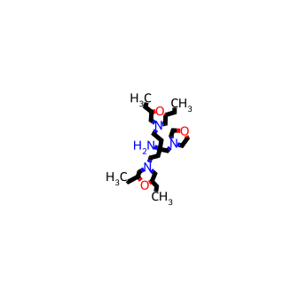 CCC1CN(CCC(N)(CCN2CC(CC)OC(CC)C2)CN2CCOCC2)CC(CC)O1